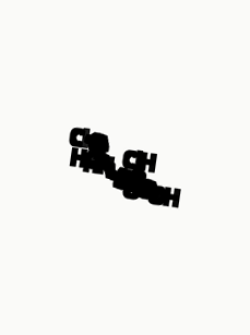 Cl.O=S(=O)(c1ccc(O)cc1)c1ccc(CCNC[C@H](O)c2cccc(Cl)c2)cc1